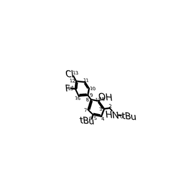 CC(C)(C)NCc1cc(C(C)(C)C)cc(-c2ccc(Cl)c(F)c2)c1O